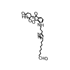 O=CCCCCCCCCn1cc(CCCNc2cccc3c2C(=O)N(C2CCC(=O)NC2=O)C3=O)nn1